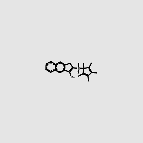 CCC(C)C1=[C]([Hf]([CH3])([CH3])[C]2(C)C(C)=C(C)C(C)=C2C)Cc2cc3ccccc3cc21